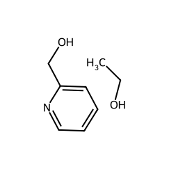 CCO.OCc1ccccn1